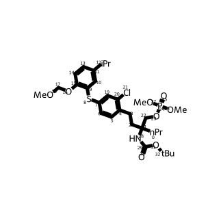 CCCC(CCc1ccc(Sc2cc(C(C)C)ccc2OCOC)cc1Cl)(COP(=O)(OC)OC)NC(=O)OC(C)(C)C